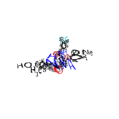 COc1cccc(NC(=O)c2cnn3c(C(=O)N[C@H]4CCc5c4ccc(C(=O)O)c5C)cc(C(=O)NCc4ccc(F)c(F)c4)nc23)c1